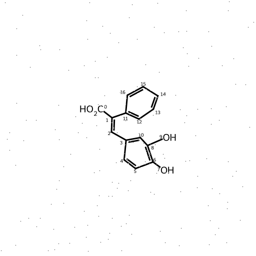 O=C(O)C(=Cc1ccc(O)c(O)c1)c1ccccc1